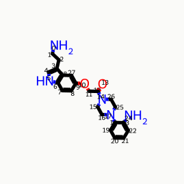 NCCc1c[nH]c2ccc(OCC(=O)N3CCN(c4ccccc4N)CC3)cc12